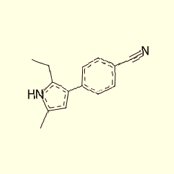 CCc1[nH]c(C)cc1-c1ccc(C#N)cc1